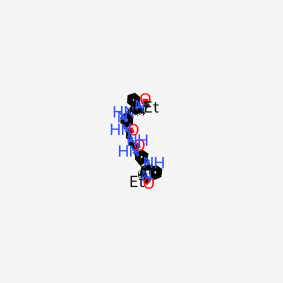 CCC(=O)N1c2ccccc2[C@H](Nc2ccc(NC(=O)CNCC(=O)Nc3ccc(N[C@@H]4C[C@H](C)N(C(=O)CC)c5ccccc54)nc3)cc2)C[C@@H]1C